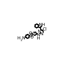 Nc1ccc(S(=O)(=O)N2CC[C@@H](Nc3ncc(Cl)c(-c4c[nH]c5ccccc45)n3)C2)cc1